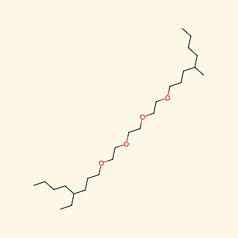 CCCCC(C)CCCOCCOCCOCCOCCCC(CC)CCCC